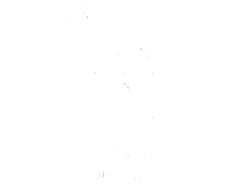 CC(C)S(=O)(=O)c1ccc(-c2cnc3[nH]cc(C(=O)C4CCCNCC4)c3n2)cc1